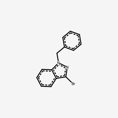 Brc1nn(Cc2ccccc2)c2ccccc12